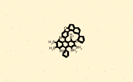 Bc1c(B)c(B)c2c(-c3ccc4oc5ccc6ccc(-c7ccccc7)cc6c5c4c3)c3c(B)c(B)c(B)c(B)c3c(-c3ccccc3)c2c1B